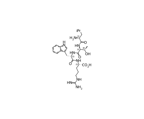 CC(C)C[C@H](N)C(=O)N[C@H](C(=O)N[C@@H](Cc1c[nH]c2ccccc12)C(=O)N[C@@H](CCCNC(=N)N)C(=O)O)[C@@H](C)O